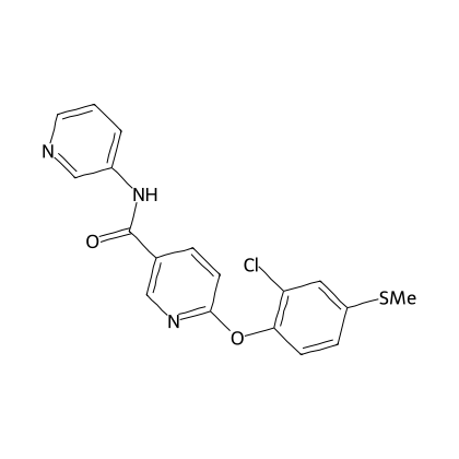 CSc1ccc(Oc2ccc(C(=O)Nc3cccnc3)cn2)c(Cl)c1